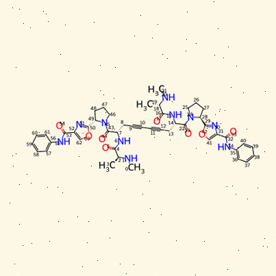 CN[C@@H](C)C(=O)N[C@@H](CC#CC#CC[C@H](NC(=O)[C@H](C)NC)C(=O)N1CCC[C@H]1c1nc(C(=O)Nc2ccccc2)co1)C(=O)N1CCC[C@H]1c1nc(C(=O)Nc2ccccc2)co1